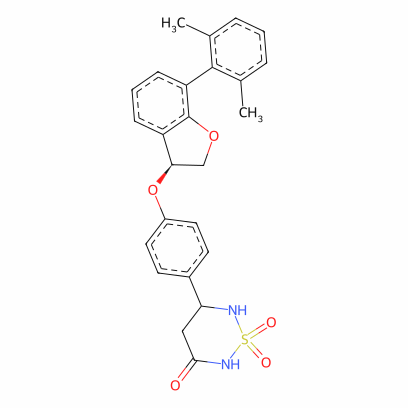 Cc1cccc(C)c1-c1cccc2c1OC[C@H]2Oc1ccc(C2CC(=O)NS(=O)(=O)N2)cc1